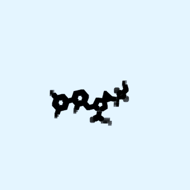 NC(=O)N1CC2(CC1Cc1cccc(-c3cc(F)cc(F)c3)c1F)CC2NS(=O)(=O)CF